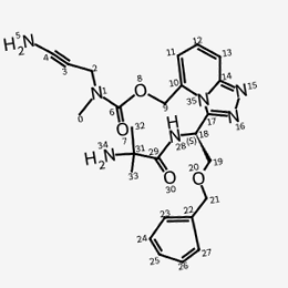 CN(CC#CN)C(=O)OCc1cccc2nnc([C@@H](COCc3ccccc3)NC(=O)C(C)(C)N)n12